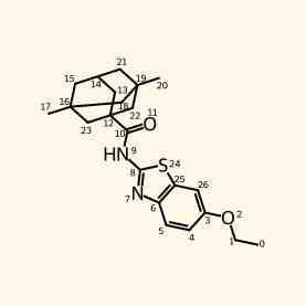 CCOc1ccc2nc(NC(=O)C34CC5CC(C)(CC(C)(C5)C3)C4)sc2c1